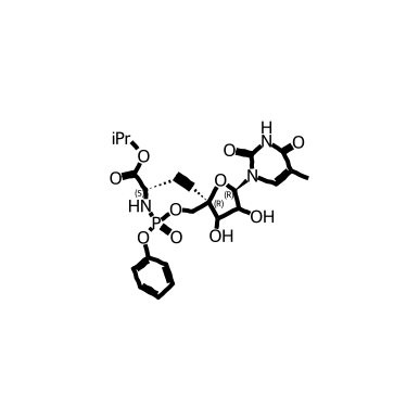 C#C[C@]1(COP(=O)(N[C@@H](C)C(=O)OC(C)C)Oc2ccccc2)O[C@@H](n2cc(C)c(=O)[nH]c2=O)C(O)C1O